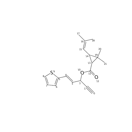 C#CC(C=Cc1cccs1)OC(=O)C1C(C=C(C)C)C1(C)C